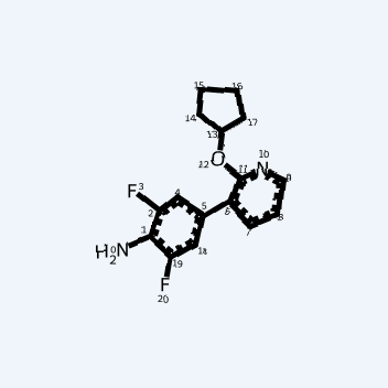 Nc1c(F)cc(-c2cccnc2OC2CCCC2)cc1F